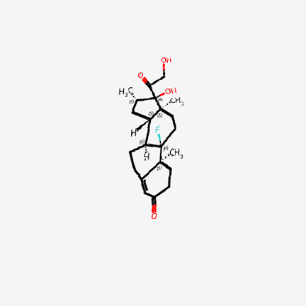 C[C@H]1C[C@H]2[C@@H]3CCC4=CC(=O)CC[C@]4(C)[C@@]3(F)CC[C@]2(C)[C@@]1(O)C(=O)CO